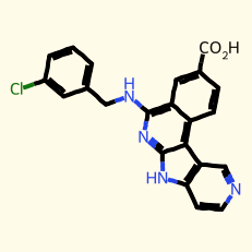 O=C(O)c1ccc2c(c1)c(NCc1cccc(Cl)c1)nc1[nH]c3ccncc3c12